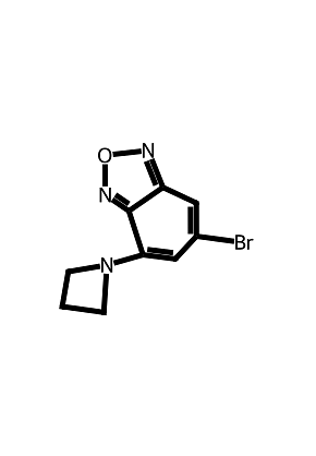 Brc1cc(N2CCC2)c2nonc2c1